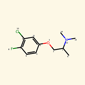 CC(COc1ccc(F)c(Cl)c1)N(C)C